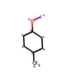 FC(F)(F)C1CCC(OI)CC1